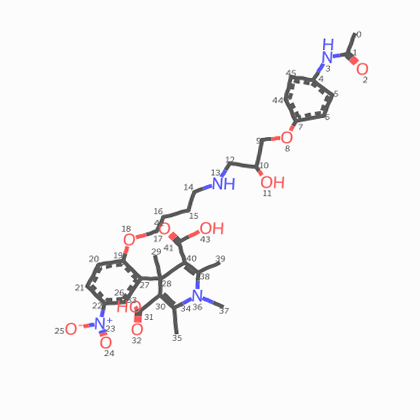 CC(=O)Nc1ccc(OCC(O)CNCCCCOc2ccc([N+](=O)[O-])cc2C2(C)C(C(=O)O)=C(C)N(C)C(C)=C2C(=O)O)cc1